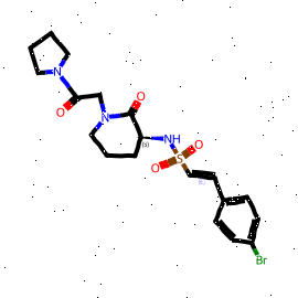 O=C(CN1CCC[C@H](NS(=O)(=O)/C=C/c2ccc(Br)cc2)C1=O)N1CCCC1